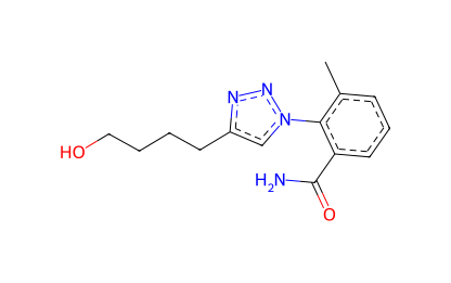 Cc1cccc(C(N)=O)c1-n1cc(CCCCO)nn1